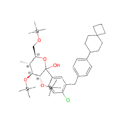 C[C@H]1[C@H](O[Si](C)(C)C)[C@@H](O[Si](C)(C)C)C(O)(c2ccc(Cl)c(Cc3ccc(C4CCC5(CCC5)CC4)cc3)c2)O[C@@H]1CO[Si](C)(C)C